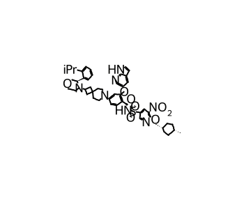 CC(C)c1ccccc1[C@@H]1COCCN1C1CC2(CCN(c3ccc(C(=O)NS(=O)(=O)c4cnc(OC[C@H]5CC[C@@H](C)CC5)c([N+](=O)[O-])c4)c(Oc4cnc5[nH]ccc5c4)c3)CC2)C1